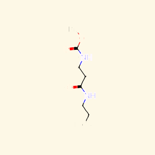 CC(C)(C)OC(=O)NCCC(=O)NCCC(F)(F)F